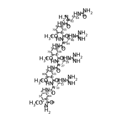 COc1ccc(NC(=O)[C@@H](CCCNC(=N)N)NC(=O)c2cc(NC(=O)[C@@H](CCCNC(=N)N)NC(=O)c3cc(NC(=O)[C@H](CCCNC(=N)N)NC(=O)c4cc(NC(=O)[C@H](N)CCCNC(N)=O)ccc4OC)ccc3OC)ccc2OC)cc1C(N)=O